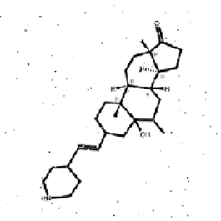 CC1C[C@@H]2[C@@H](CC[C@]3(C)C(=O)CC[C@@H]23)[C@@]2(C)CCC(C=CC3CCNCC3)CC12O